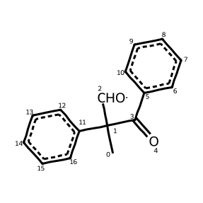 CC([C]=O)(C(=O)c1ccccc1)c1ccccc1